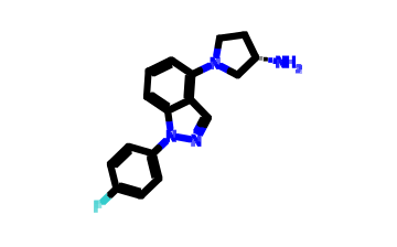 N[C@H]1CCN(c2cccc3c2cnn3-c2ccc(F)cc2)C1